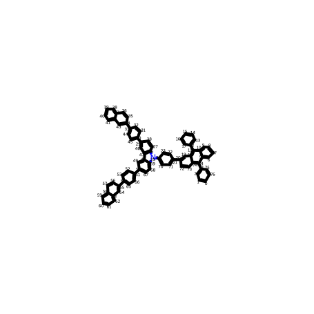 c1ccc(-c2c3ccccc3c(-c3ccccc3)c3cc(-c4ccc(-n5c6ccc(-c7ccc(-c8ccc9ccccc9c8)cc7)cc6c6cc(-c7ccc(-c8ccc9ccccc9c8)cc7)ccc65)cc4)ccc23)cc1